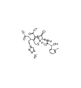 Cc1ccccc1C(O)C(=O)NC1C(=O)N2C(C(=O)[O-])=C(C(CC(=O)[O-])Sn3cnnn3)CS[C@@H]12.[K+].[K+]